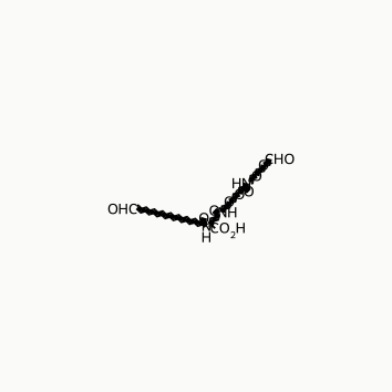 O=CCCCCCCCCCCCCCCCCC(=O)N[C@@H](CCC(=O)NCCOCCOCC(=O)NCCOCCOCC=O)C(=O)O